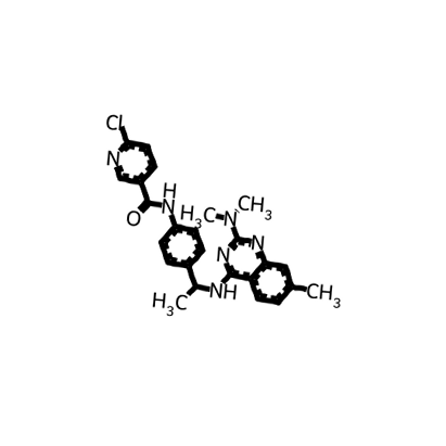 Cc1ccc2c(NC(C)c3ccc(NC(=O)c4ccc(Cl)nc4)cc3)nc(N(C)C)nc2c1